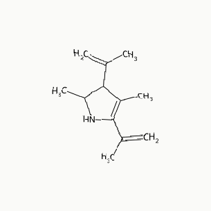 C=C(C)C1=C(C)C(C(=C)C)C(C)N1